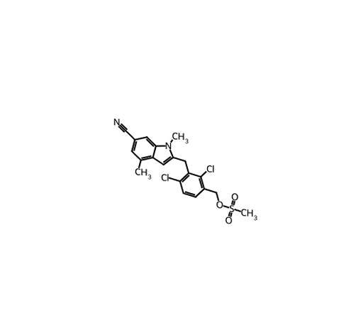 Cc1cc(C#N)cc2c1cc(Cc1c(Cl)ccc(COS(C)(=O)=O)c1Cl)n2C